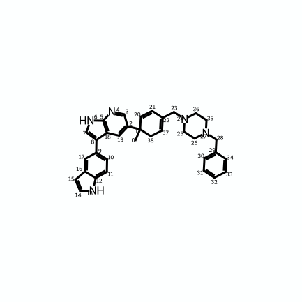 CC1(c2cnc3[nH]cc(-c4ccc5[nH]ccc5c4)c3c2)C=CC(CN2CCN(Cc3ccccc3)CC2)=CC1